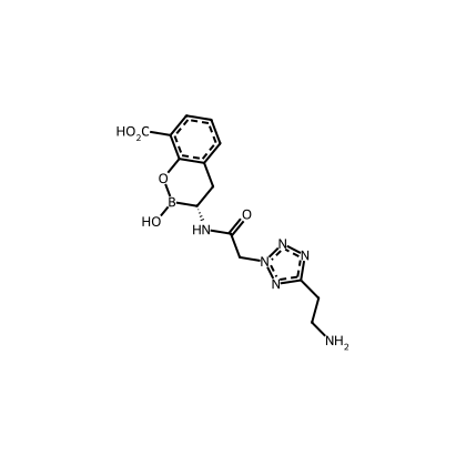 NCCc1nnn(CC(=O)N[C@H]2Cc3cccc(C(=O)O)c3OB2O)n1